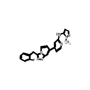 Cn1nccc1Nc1cc(-c2ccn3c(Cc4ccccc4F)nnc3c2)ccn1